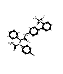 NC(=S)N(c1ccc(Br)cc1)C(C(=O)Nc1ccc(-c2ccccc2S(N)(=O)=O)cc1)c1ccccc1